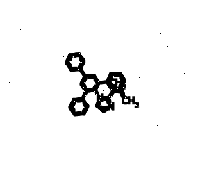 C=CC(=C)c1nccn1-c1c(-c2ccccc2)cc(-c2ccccc2)cc1-c1ccccc1